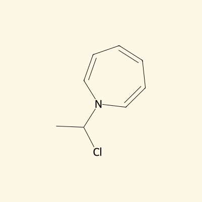 CC(Cl)N1C=CC=CC=C1